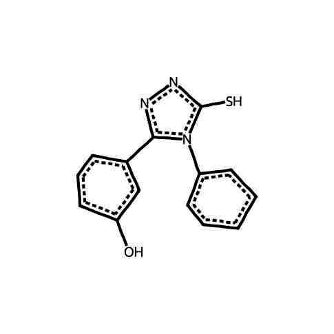 Oc1cccc(-c2nnc(S)n2-c2ccccc2)c1